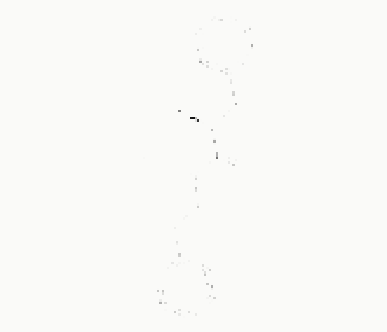 Cl.N[C@@H](Cc1ccccc1)C(=O)NCCc1ccccc1